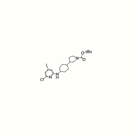 CC(C)(C)OC(=O)N1CCC(C2CCC(Nc3cc(I)cc(Cl)n3)CC2)C1